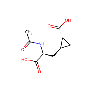 CC(=O)N[C@@H](C[C@@H]1C[C@H]1C(=O)O)C(=O)O